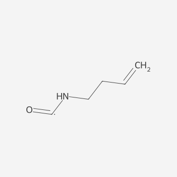 C=CCCN[C]=O